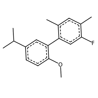 COc1ccc(C(C)C)cc1-c1cc(F)c(C)cc1C